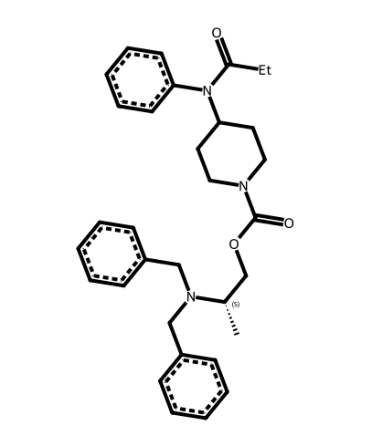 CCC(=O)N(c1ccccc1)C1CCN(C(=O)OC[C@H](C)N(Cc2ccccc2)Cc2ccccc2)CC1